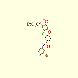 CCOC(=O)C1CCOc2cc(Oc3ccc(C(=O)Nc4ccc(F)c(Br)c4)cc3)c(Cl)cc21